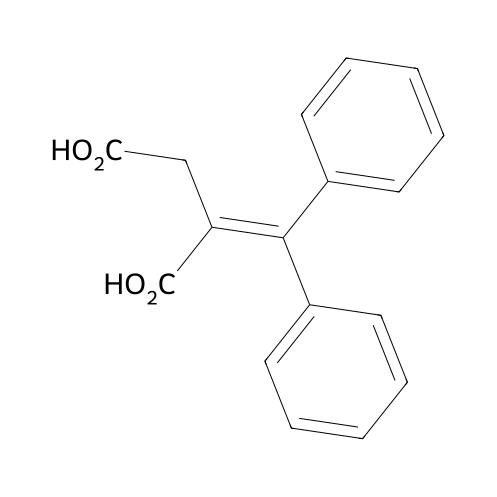 O=C(O)CC(C(=O)O)=C(c1ccccc1)c1ccccc1